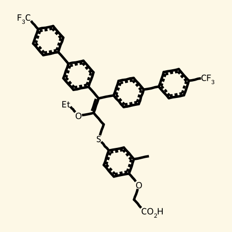 CCOC(CSc1ccc(OCC(=O)O)c(C)c1)=C(c1ccc(-c2ccc(C(F)(F)F)cc2)cc1)c1ccc(-c2ccc(C(F)(F)F)cc2)cc1